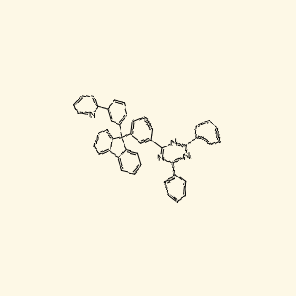 c1ccc(-c2nc(-c3ccccc3)nc(-c3cccc(C4(c5cccc(-c6ccccn6)c5)c5ccccc5-c5ccccc54)c3)n2)cc1